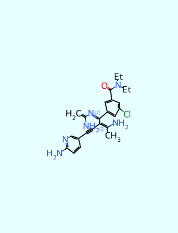 C=C(N)/N=C(\C(C#Cc1ccc(N)nc1)=C(\C)N)c1cc(Cl)cc(C(=O)N(CC)CC)c1